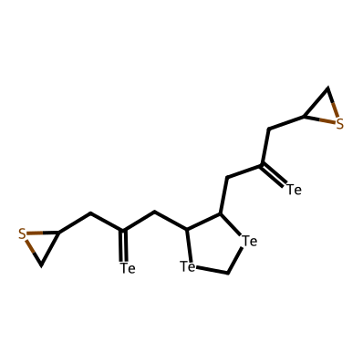 [Te]=C(CC1CS1)CC1[Te]C[Te]C1CC(=[Te])CC1CS1